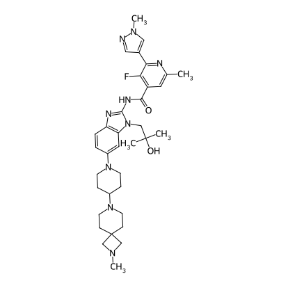 Cc1cc(C(=O)Nc2nc3ccc(N4CCC(N5CCC6(CC5)CN(C)C6)CC4)cc3n2CC(C)(C)O)c(F)c(-c2cnn(C)c2)n1